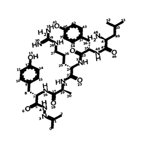 CC(C)=NNC(=O)[C@H](Cc1ccc(O)cc1)NC(=O)[C@H](C)NC(=O)[C@H](CCCNC(=N)N)NC(=O)[C@H](Cc1ccc(O)cc1)NC(=O)[C@@H](N)CC(C)C